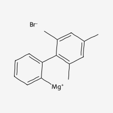 Cc1cc(C)c(-c2cccc[c]2[Mg+])c(C)c1.[Br-]